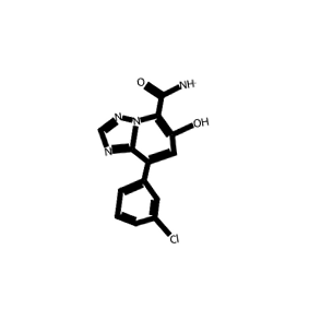 [NH]C(=O)c1c(O)cc(-c2cccc(Cl)c2)c2ncnn12